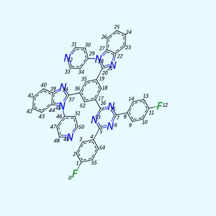 Fc1ccc(-c2nc(-c3ccc(F)cc3)nc(-c3cc(-c4nc5ccccc5n4-c4ccncc4)cc(-c4nc5ccccc5n4-c4ccncc4)c3)n2)cc1